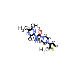 COc1nc(C)c(C)nc1NC(=O)N1CCN(c2ccsc2C)CC1